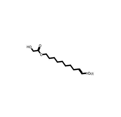 CCCCCCCCC=CCCCCCCCCOC(=O)CO